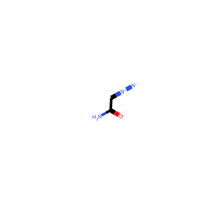 [N-]=[N+]=CC(N)=O